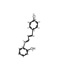 Oc1ccccc1/N=C/C=C/c1ccc(Cl)cc1